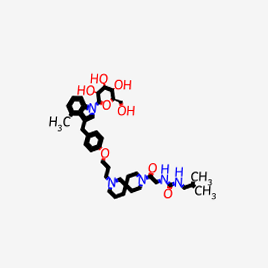 Cc1cccc2c1c(Cc1ccc(OCCCN3CCCC4(CCN(C(=O)CNC(=O)NCC(C)C)CC4)C3)cc1)cn2C1O[C@H](CO)[C@@H](O)[C@H](O)[C@H]1O